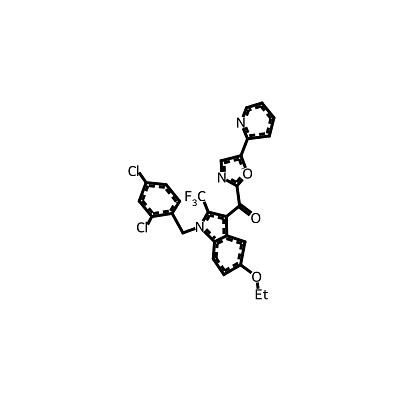 CCOc1ccc2c(c1)c(C(=O)c1ncc(-c3ccccn3)o1)c(C(F)(F)F)n2Cc1ccc(Cl)cc1Cl